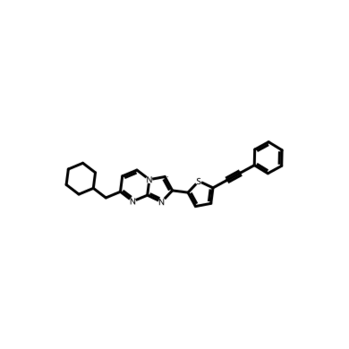 C(#Cc1ccc(-c2[c]n3ccc(CC4CCCCC4)nc3n2)s1)c1ccccc1